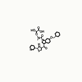 CN(C)C(=O)n1cc(C(=O)C2=CSC(c3cccnc3)N2)c2ccc(OCc3ccccc3)cc21.O=C(O)C(=O)O